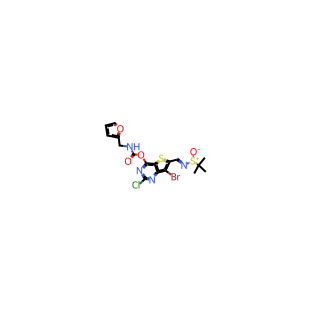 CC(C)(C)[S@@+]([O-])/N=C/c1sc2c(OC(=O)NCc3ccco3)nc(Cl)nc2c1Br